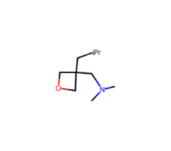 CC(C)CC1(CN(C)C)COC1